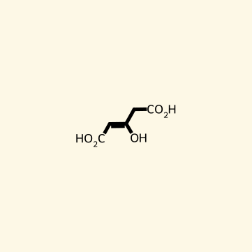 O=C(O)C=C(O)CC(=O)O